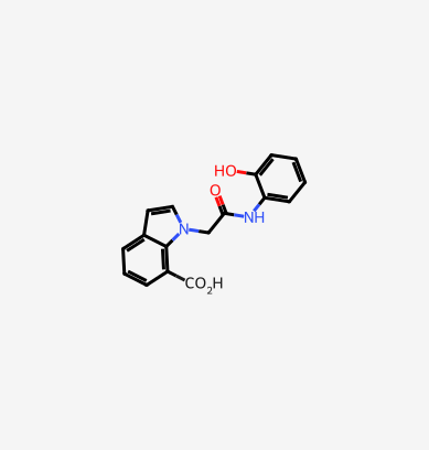 O=C(Cn1ccc2cccc(C(=O)O)c21)Nc1ccccc1O